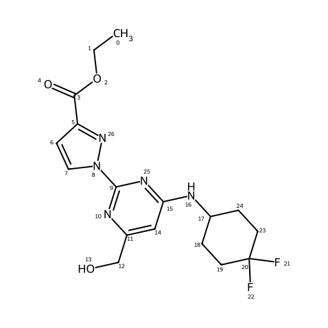 CCOC(=O)c1ccn(-c2nc(CO)cc(NC3CCC(F)(F)CC3)n2)n1